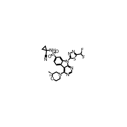 C[C@H]1CN(c2ncnc3c2c2ccc(S(=O)(=O)NC4(C#N)CC4)cc2n3-c2nnc(C(F)F)s2)CCO1